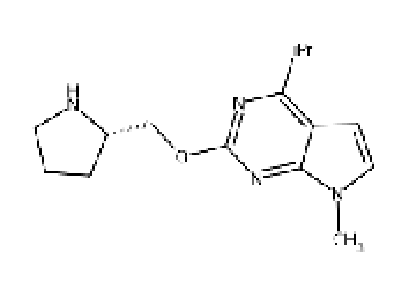 CC(C)c1nc(OC[C@@H]2CCCN2)nc2c1ccn2C